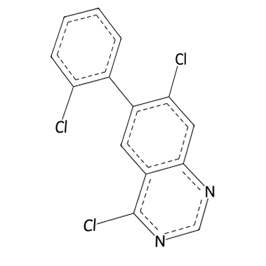 Clc1ccccc1-c1cc2c(Cl)ncnc2cc1Cl